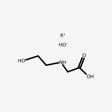 O=C(O)CNCCO.[K+].[OH-]